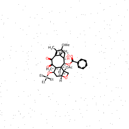 CC[Si](CC)(CC)OC1C[C@H]2OC[C@@]2(OC(C)=O)[C@H]2[C@H](OC(=O)c3ccccc3)[C@]3(O)CC(OC)C(C)=C(C(=O)C(=O)[C@]12C)C3(C)C